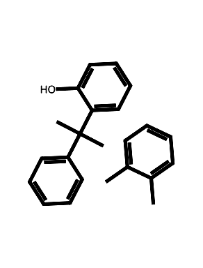 CC(C)(c1ccccc1)c1ccccc1O.Cc1ccccc1C